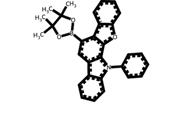 CC1(C)OB(c2cc3c4ccccc4n(-c4ccccc4)c3c3oc4ccccc4c23)OC1(C)C